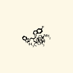 CC(C)(C)C[C@@H](Cn1cnc2ccccc21)[C@@H](C(CO)OC(N)=O)N1CCc2cc(F)ccc21